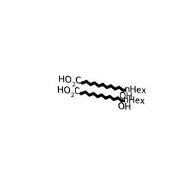 CCCCCCC(O)CCCCCCCCCCC(=O)O.CCCCCCC(O)CCCCCCCCCCC(=O)O